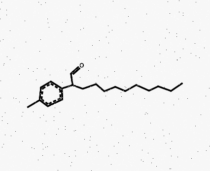 CCCCCCCCCCC(C=O)c1ccc(C)cc1